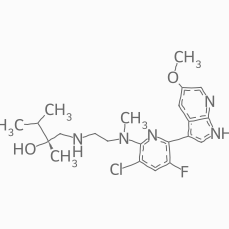 COc1cnc2[nH]cc(-c3nc(N(C)CCNC[C@](C)(O)C(C)C)c(Cl)cc3F)c2c1